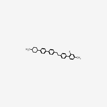 Cc1ccc(-c2ccc(CCc3ccc(-c4ccc(C5CCC(C)CC5)cc4)cc3)cc2)c(F)c1